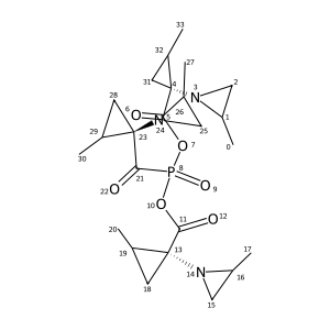 CC1CN1[C@]1(C(=O)OP(=O)(OC(=O)[C@@]2(N3CC3C)CC2C)C(=O)[C@@]2(N3CC3C)CC2C)CC1C